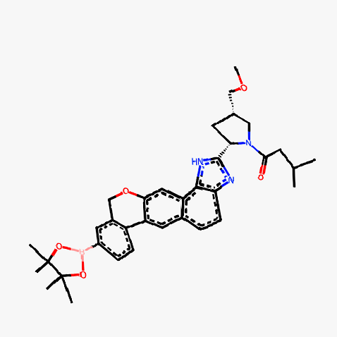 COC[C@H]1C[C@@H](c2nc3ccc4cc5c(cc4c3[nH]2)OCc2cc(B3OC(C)(C)C(C)(C)O3)ccc2-5)N(C(=O)CC(C)C)C1